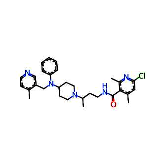 Cc1ccncc1CN(c1ccccc1)C1CCN(C(C)CCNC(=O)c2c(C)cc(Cl)nc2C)CC1